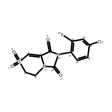 O=C1C2=CS(=O)(=O)CCN2C(=O)N1c1ccc(Cl)cc1F